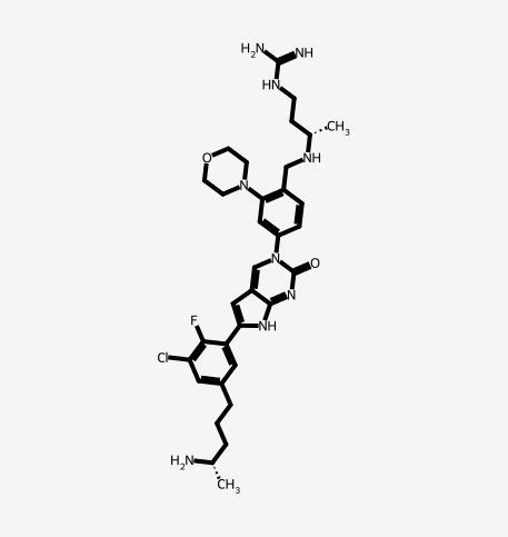 C[C@H](N)CCCc1cc(Cl)c(F)c(-c2cc3cn(-c4ccc(CN[C@@H](C)CCNC(=N)N)c(N5CCOCC5)c4)c(=O)nc3[nH]2)c1